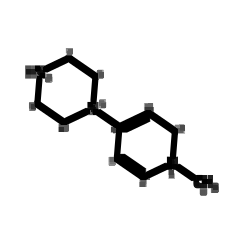 CN1[C]=CC(N2CCNCC2)=CC1